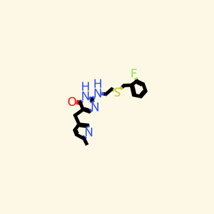 Cc1ccc(Cc2cnc(NCCSCc3ccccc3F)[nH]c2=O)cn1